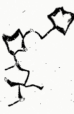 COC(=O)C(C)CN(C)c1cccc(OCc2ccccc2)n1